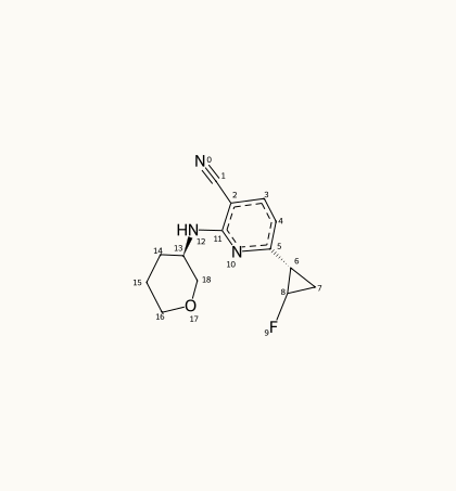 N#Cc1ccc([C@@H]2CC2F)nc1N[C@@H]1CCCOC1